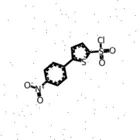 O=[N+]([O-])c1ccc(-c2ccc(S(=O)(=O)Cl)s2)cc1